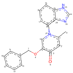 Cc1cc(=O)c(OCc2ccccc2)cn1-c1cccc2[nH]cnc12